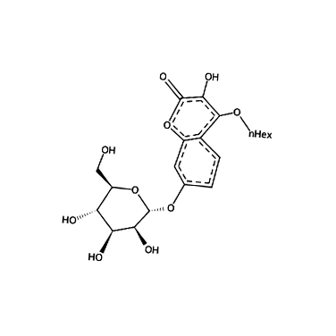 CCCCCCOc1c(O)c(=O)oc2cc(O[C@H]3O[C@H](CO)[C@@H](O)[C@H](O)[C@@H]3O)ccc12